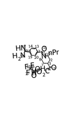 CCCC1CC(C(=O)C(=O)O)CCN1C(=O)c1ccc(C(=N)N)cc1.O=C(O)C(F)(F)F